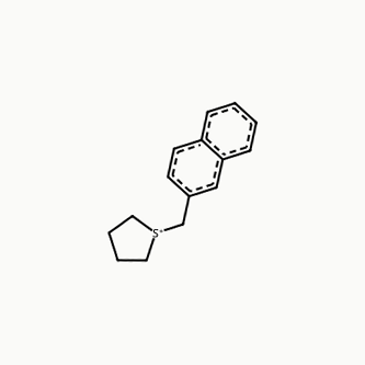 c1ccc2cc(C[S+]3CCCC3)ccc2c1